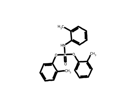 Cc1ccccc1NP(=O)(Oc1ccccc1C)Oc1ccccc1C